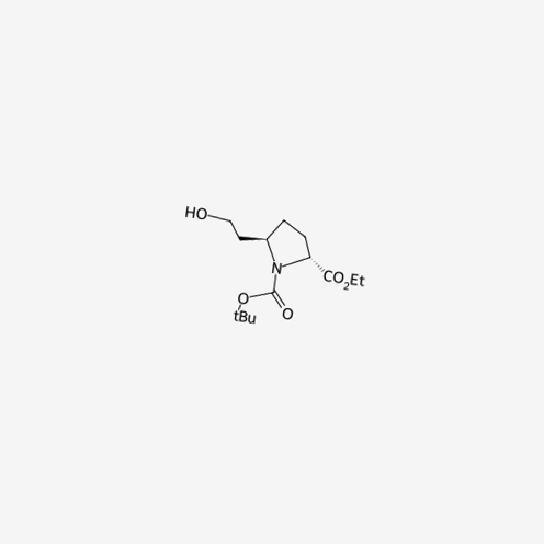 CCOC(=O)[C@H]1CC[C@H](CCO)N1C(=O)OC(C)(C)C